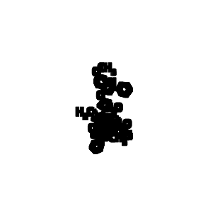 C=C[C@@]1(C(=O)[C@@H]2C[C@@H](Oc3cc(-c4ccccc4)nc4cc(OC)ccc34)CN2C(=O)[C@H](CNC(=O)CCl)NC(=O)OC(C)(C)C)C[C@]1(N)C(=O)NS(=O)(=O)c1ccccc1